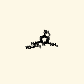 CCO.Nc1nc(N)nc(N)n1